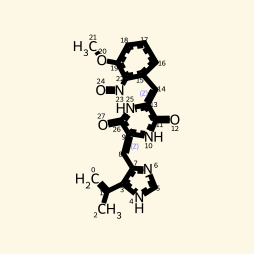 C=C(C)c1[nH]cnc1/C=c1\[nH]c(=O)/c(=C/c2cccc(OC)c2N=O)[nH]c1=O